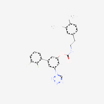 COc1ccc(CCNC(=O)Oc2cc(-c3cccc(F)c3F)cc(-n3cnnn3)c2)cc1OC